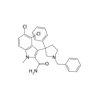 Cn1c(C(N)=O)c(C2(c3ccccc3)CCN(Cc3ccccc3)C2)c2c(Cl)c(Cl)ccc21